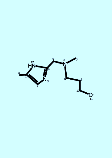 Cc1cnc(CN(C)CCC[O])[nH]1